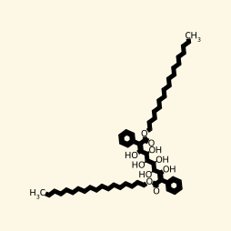 CCCCCCCCCCCCCCCCCCOC(=O)C(=C(O)[C@@H](O)[C@@H](O)[C@H](O)[C@@H](O)C(O)=C(C(=O)OCCCCCCCCCCCCCCCCCC)c1ccccc1)c1ccccc1